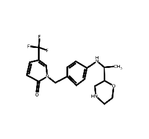 CC(Nc1ccc(Cn2cc(C(F)(F)F)ccc2=O)cc1)C1CNCCO1